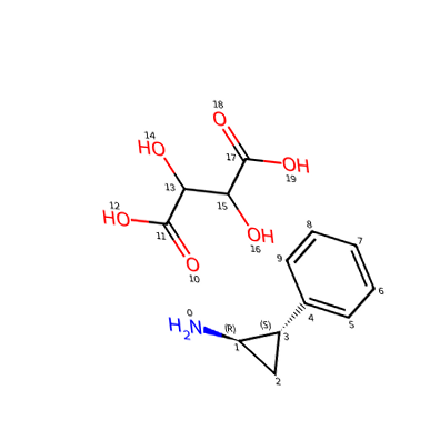 N[C@@H]1C[C@H]1c1ccccc1.O=C(O)C(O)C(O)C(=O)O